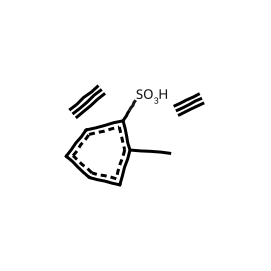 C#C.C#C.Cc1ccccc1S(=O)(=O)O